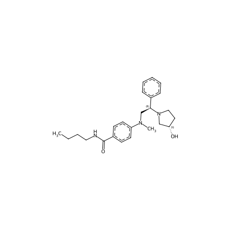 CCCCNC(=O)c1ccc(N(C)C[C@@H](c2ccccc2)N2CC[C@H](O)C2)cc1